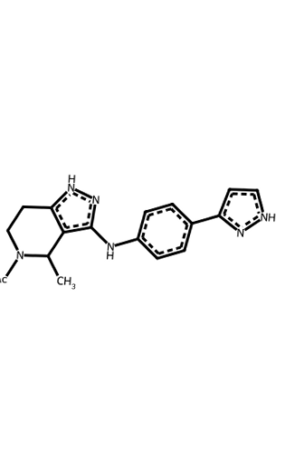 CC(=O)N1CCc2[nH]nc(Nc3ccc(-c4cc[nH]n4)cc3)c2C1C